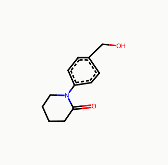 O=C1CCCCN1c1ccc(CO)cc1